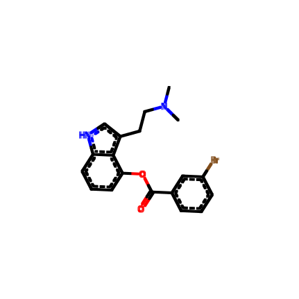 CN(C)CCc1c[nH]c2cccc(OC(=O)c3cccc(Br)c3)c12